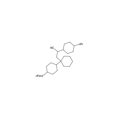 CCCCCC1CCC(C2(CC(C#N)C3CCC(CCC)CC3)CCCCC2)CC1